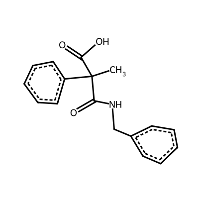 CC(C(=O)O)(C(=O)NCc1ccccc1)c1ccccc1